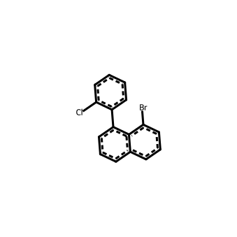 Clc1ccccc1-c1cccc2cccc(Br)c12